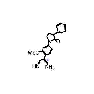 COc1cc(N2CCC(c3ccccc3)C2=O)ccc1/C(C=N)=C/N